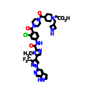 Cn1c(-c2cn(-c3cc4cc[nH]c4cn3)nc2C(F)(F)F)cnc1C(=O)Nc1ccc(C(=O)N2CCN(C(=O)C3CC[N+](CC(=O)O)(CC4CNC4)CC3)CC2)c(Cl)c1